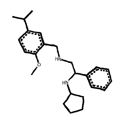 COc1ccc(C(C)C)cc1CNCC(NC1CCCC1)c1ccccc1